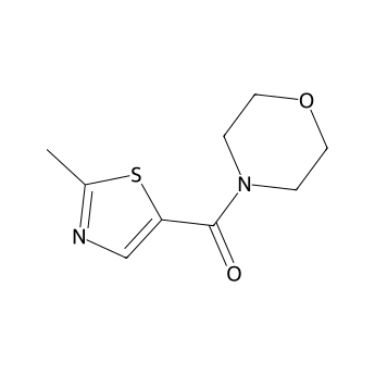 Cc1ncc(C(=O)N2CCOCC2)s1